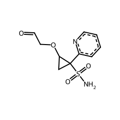 NS(=O)(=O)C1(c2ccccn2)CC1OCC=O